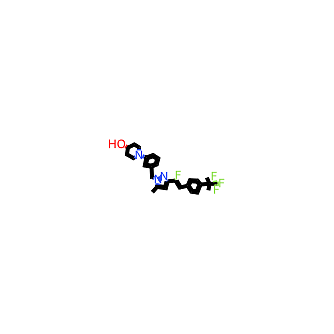 Cc1cc(C(F)=Cc2ccc(C(C)(C)C(F)(F)F)cc2)nn1Cc1cccc(N2CCC(O)CC2)c1